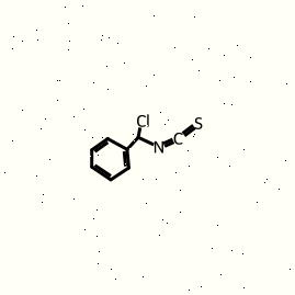 S=C=NC(Cl)c1ccccc1